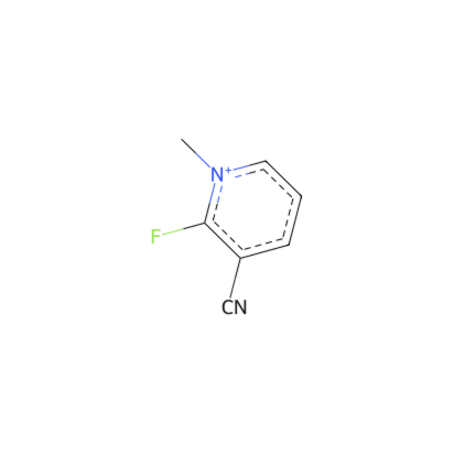 C[n+]1cccc(C#N)c1F